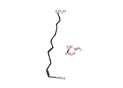 CCCCCCCC/C=C\CCCCCCCC(=O)O.O=C(O)O.[SrH2]